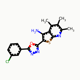 Cc1nc2sc(-c3nnc(-c4cccc(Cl)c4)o3)c(N)c2c(C)c1C